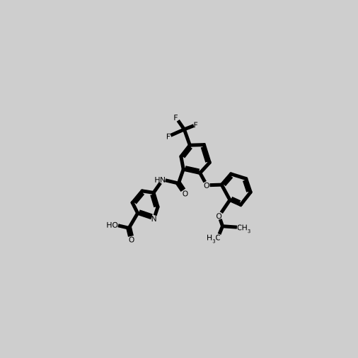 CC(C)Oc1ccccc1Oc1ccc(C(F)(F)F)cc1C(=O)Nc1ccc(C(=O)O)nc1